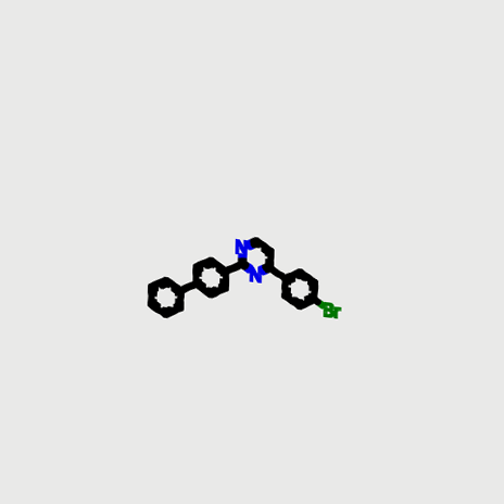 Brc1ccc(-c2ccnc(-c3ccc(-c4ccccc4)cc3)n2)cc1